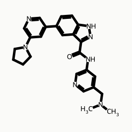 CN(C)Cc1cncc(NC(=O)c2n[nH]c3ccc(-c4cncc(N5CCCC5)c4)cc23)c1